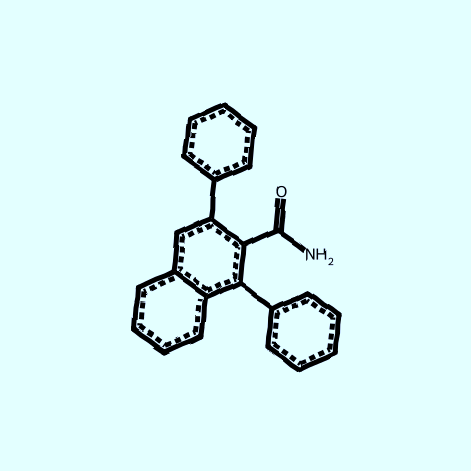 NC(=O)c1c(-c2ccccc2)cc2ccccc2c1-c1ccccc1